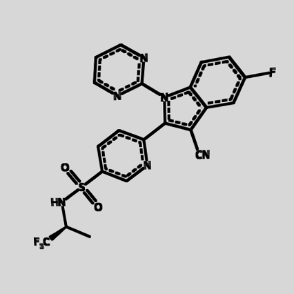 C[C@H](NS(=O)(=O)c1ccc(-c2c(C#N)c3cc(F)ccc3n2-c2ncccn2)nc1)C(F)(F)F